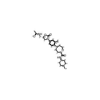 CC(=O)NC[C@H]1CN(c2ccc(N3CCON(C(=O)NN4CCN(C)CC4)CC3)c(F)c2)C(=O)O1